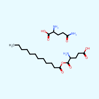 CCCCCCCCCCCC(=O)OC(=O)C(N)CCC(=O)O.NC(=O)CCC(N)C(=O)O